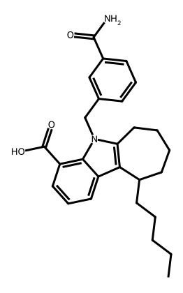 CCCCCC1CCCCc2c1c1cccc(C(=O)O)c1n2Cc1cccc(C(N)=O)c1